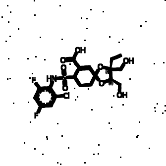 CC[C@]1(CO)OC2(C=C(C(=O)O)C(S(=O)(=O)Nc3c(F)cc(F)cc3Cl)CC2)O[C@@H]1CO